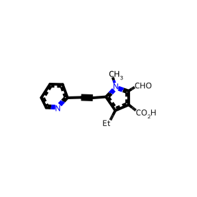 CCc1c(C(=O)O)c(C=O)n(C)c1C#Cc1ccccn1